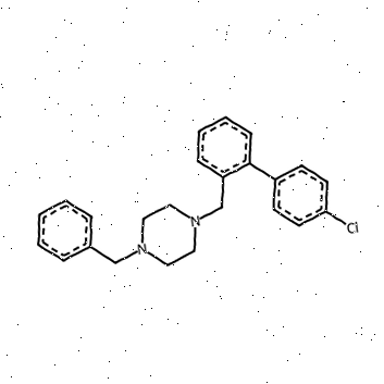 Clc1ccc(-c2ccccc2CN2CCN(Cc3ccccc3)CC2)cc1